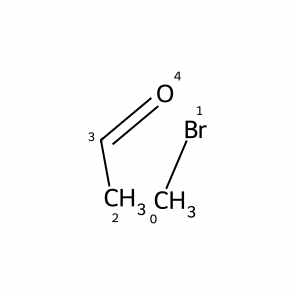 CBr.CC=O